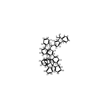 CC1(C)c2ccccc2-c2ccc(N(c3ccc4c(c3)c3ccc5c(c3n4-c3ccccc3)C3(c4ccccc4-c4ccccc43)c3ccccc3-5)c3ccccc3-c3ccccc3)cc21